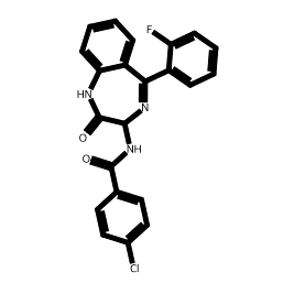 O=C(NC1N=C(c2ccccc2F)c2ccccc2NC1=O)c1ccc(Cl)cc1